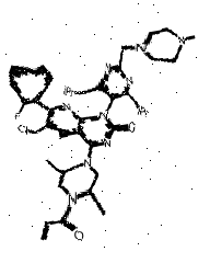 C=CC(=O)N1CC(C)N(c2nc(=O)n(-c3c(C(C)C)nc(CN4CCN(C)CC4)nc3C(C)C)c3nc(-c4ccccc4F)c(Cl)cc23)CC1C